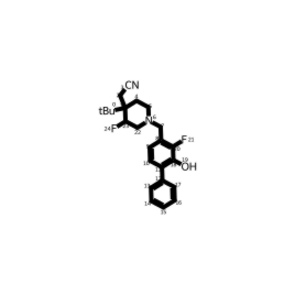 CC(C)(C)C1(CC#N)CCN(Cc2ccc(-c3ccccc3)c(O)c2F)CC1F